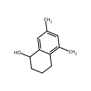 Cc1cc(C)c2c(c1)[C](O)CCC2